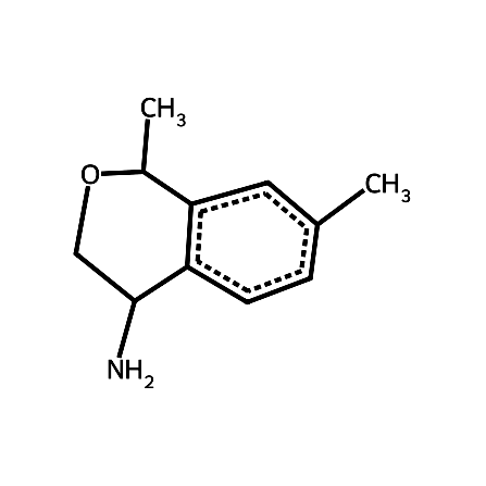 Cc1ccc2c(c1)C(C)OCC2N